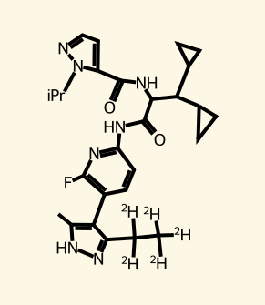 [2H]C([2H])([2H])C([2H])([2H])c1n[nH]c(C)c1-c1ccc(NC(=O)C(NC(=O)c2ccnn2C(C)C)C(C2CC2)C2CC2)nc1F